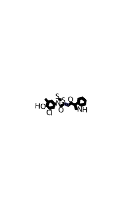 Cc1cc(N2C(=O)/C(=C/C(=O)c3c[nH]c4ccccc34)SC2=S)cc(Cl)c1O